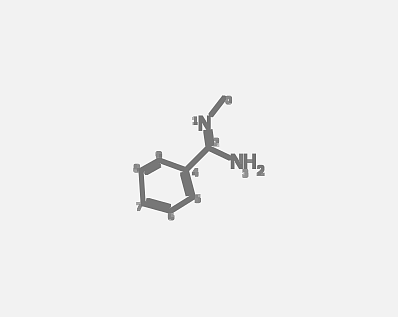 CN=C(N)c1ccccc1